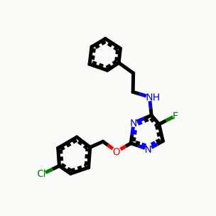 Fc1cnc(OCc2ccc(Cl)cc2)nc1NCCc1ccccc1